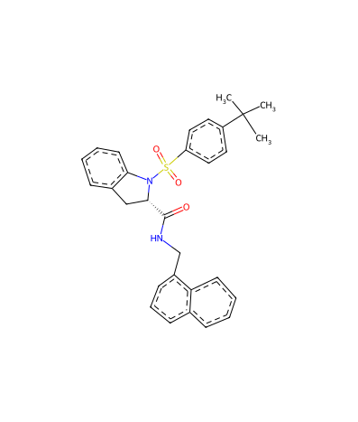 CC(C)(C)c1ccc(S(=O)(=O)N2c3ccccc3C[C@H]2C(=O)NCc2cccc3ccccc23)cc1